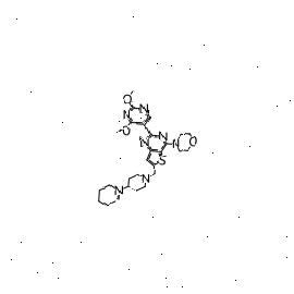 COc1ncc(-c2nc(N3CCOCC3)c3sc(CN4CCC(N5CCCCC5)CC4)cc3n2)c(OC)n1